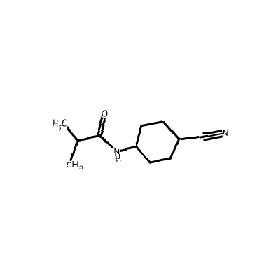 CC(C)C(=O)NC1CCC(C#N)CC1